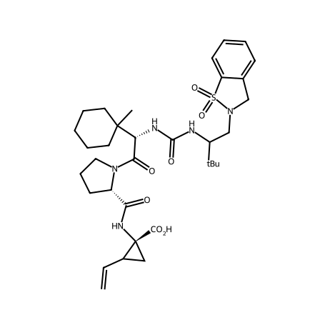 C=CC1C[C@]1(NC(=O)[C@@H]1CCCN1C(=O)[C@@H](NC(=O)NC(CN1Cc2ccccc2S1(=O)=O)C(C)(C)C)C1(C)CCCCC1)C(=O)O